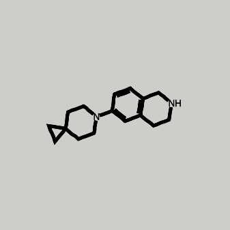 c1cc2c(cc1N1CCC3(CC1)CC3)CCNC2